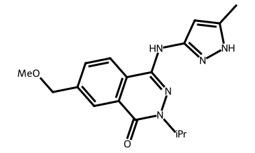 COCc1ccc2c(Nc3cc(C)[nH]n3)nn(C(C)C)c(=O)c2c1